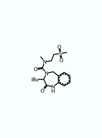 CCC(C)C1C(=O)Nc2ccccc2CN1C(=O)N(C)CCS(C)(=O)=O